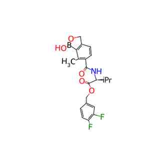 Cc1c(C(=O)N[C@H](C(=O)OCc2ccc(F)c(F)c2)C(C)C)ccc2c1B(O)OC2